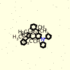 CC1(C)C2=C(C3=C1[Si](C)(C)c1ccccc13)C(C)(C)c1cc(N(c3ccccc3)c3ccccc3)cc3c1B2c1ccccc1C3(C)C